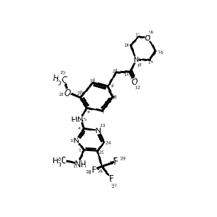 CNc1nc(Nc2ccc(CC(=O)N3CCOCC3)cc2OC)ncc1C(F)(F)F